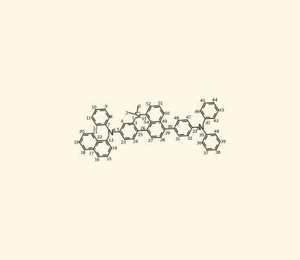 C[Si]1(C)c2cc(N(c3ccccc3)c3cccc4ccccc34)ccc2-c2ccc(-c3ccc(N(c4ccccc4)c4ccccc4)cc3)c3cccc1c23